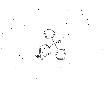 ClC(c1ccccc1)(c1ccccc1)c1ccccc1.N